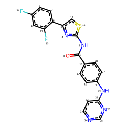 O=C(Nc1nc(-c2ccc(F)cc2F)cs1)c1ccc(Nc2ccncn2)cc1